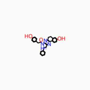 O=C(Cc1ccc(O)cc1)Nc1nc2c(nc1/C=C/c1ccccc1)-c1ccc(O)cc1CC2